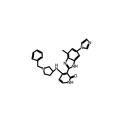 Cc1cc(-n2ccnc2)cc2[nH]c(-c3c(NC4CCN(Cc5ccccc5)C4)cc[nH]c3=O)nc12